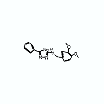 COc1ccc(CNc2nnc(-c3ccccc3)[nH]2)cc1OC